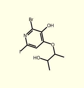 CC(O)C(C)Oc1cc(I)nc(Br)c1O